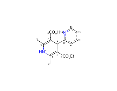 CCOC(=O)C1=C(C)NC(C)=C(C(=O)O)C1c1ccccn1